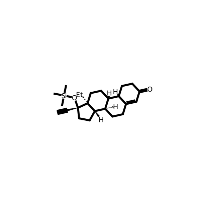 C#C[C@]1(O[Si](C)(C)C)CC[C@H]2[C@@H]3CCC4=CC(=O)CC[C@@H]4[C@H]3CC[C@@]21CC